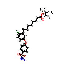 CC(C)(C)OC(=O)CCCCCCCc1cc(Oc2ccc(S(N)(=O)=O)cc2)ccc1F